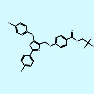 O=C(NCC(F)(F)F)c1ccc(OCc2nc(-c3ccc(F)cc3)oc2Sc2ccc(Cl)cn2)cc1